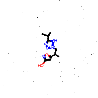 CC(C)c1nn[n+](CC(C)c2cc(O)no2)[nH]1